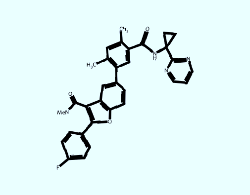 CNC(=O)c1c(-c2ccc(F)cc2)oc2ccc(-c3cc(C(=O)NC4(c5ncccn5)CC4)c(C)cc3C)cc12